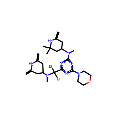 C=C1CC(N(C)C(CC)(CC)c2nc(N3CCOCC3)nc(N(C)C3CC(=C)NC(C)(C)C3)n2)CC(=C)N1